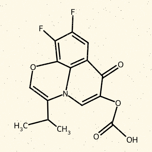 CC(C)C1=COc2c(F)c(F)cc3c(=O)c(OC(=O)O)cn1c23